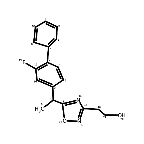 CC(c1ccc(-c2ccccc2)c(F)c1)c1nc(CCO)no1